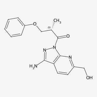 C[C@@H](COc1ccccc1)C(=O)n1nc(N)c2ccc(CO)nc21